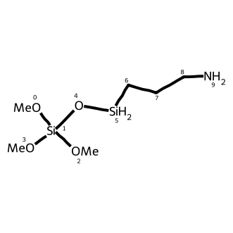 CO[Si](OC)(OC)O[SiH2]CCCN